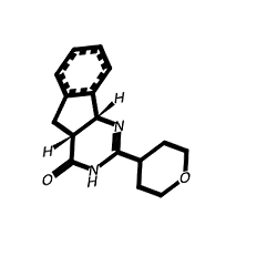 O=C1NC(C2CCOCC2)=N[C@H]2c3ccccc3C[C@@H]12